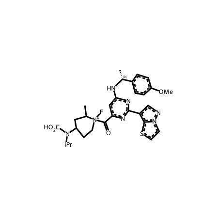 COc1ccc([C@@H](C)Nc2cc(C(=O)[N+]3(F)CCC(N(C(=O)O)C(C)C)CC3C)nc(-c3cnn4ccsc34)n2)cc1